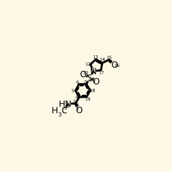 CNC(=O)c1ccc(S(=O)(=O)N2CC=C(C=O)C2)cc1